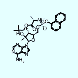 C[C@H](NP(=O)(OC[C@H]1O[C@@H](n2cnc3c(N)ncnc32)[C@](C)(O)[C@@H]1F)Oc1cccc2ccccc12)C(=O)OCC(C)(C)C